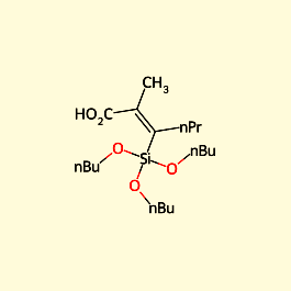 CCCCO[Si](OCCCC)(OCCCC)C(CCC)=C(C)C(=O)O